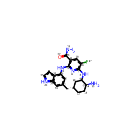 Cc1cc(Nc2nc(NC3CCCC[C@@H]3N)c(F)cc2C(N)=O)c2cc[nH]c2c1